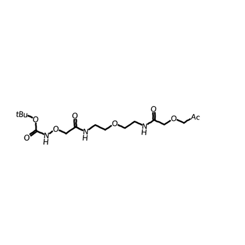 CC(=O)COCC(=O)NCCOCCNC(=O)CONC(=O)OC(C)(C)C